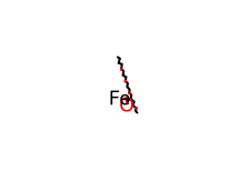 CCCCCCCCCCCCCCC(CCCCC)[C](=O)[Fe]